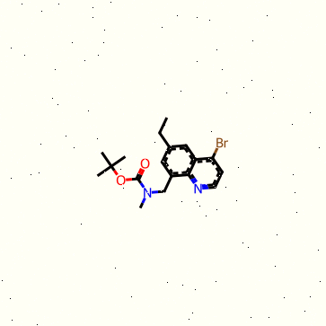 CCc1cc(CN(C)C(=O)OC(C)(C)C)c2nccc(Br)c2c1